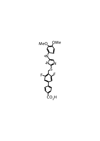 COc1ccc(N(C)c2cnc(SCc3c(F)cc(-c4ccc(C(=O)O)cc4)cc3F)n2C)cc1OC